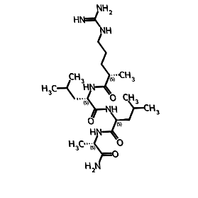 CC(C)C[C@H](NC(=O)[C@H](CC(C)C)NC(=O)[C@@H](C)CCCNC(=N)N)C(=O)N[C@@H](C)C(N)=O